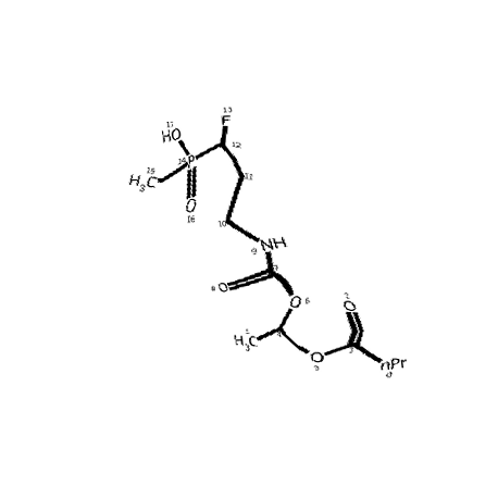 CCCC(=O)OC(C)OC(=O)NCCC(F)P(C)(=O)O